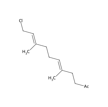 CC(=O)CC/C(C)=C/CC/C(C)=C/CCl